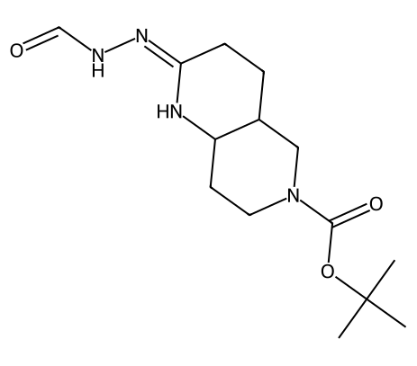 CC(C)(C)OC(=O)N1CCC2N/C(=N\NC=O)CCC2C1